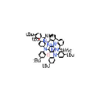 CNC(=N)c1cccc2c3cccc(C(=N)/N=C(\NC)c4ccc(C(C)(C)C)cc4)c3n(-c3cc4c5c(c3)N(c3ccc(C(C)(C)C)cc3)c3ccc(C(C)(C)C)cc3B5c3cc(C(C)(C)C)ccc3N4c3ccc(C(C)(C)C)cc3)c12